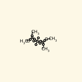 CCCCOc1ccc(N(c2ccc(CCC)cc2)c2ccc3c4c(-c5ccccc5)c5c6ccc(N(c7ccc(CCC)cc7)c7ccc(OCC)cc7)c7cccc(c5c(-c5ccccc5)c4c4cccc2c43)c76)cc1